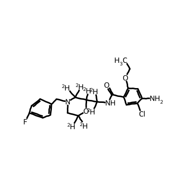 [2H]C1([2H])CN(Cc2ccc(F)cc2)C([2H])([2H])C([2H])(C([2H])([2H])NC(=O)c2cc(Cl)c(N)cc2OCC)O1